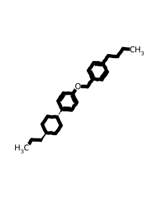 CCCCc1ccc(COc2ccc([C@H]3CC[C@H](CCC)CC3)cc2)cc1